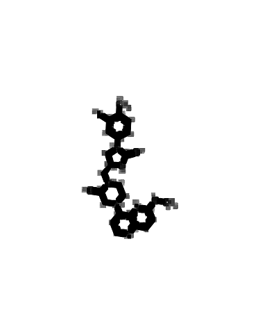 COc1ccc2nccc(N3CCN(C[C@H]4CN(c5ccc(C)c(F)c5)C(=O)O4)C(=O)C3)c2n1